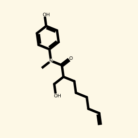 C=CCCCCC(CO)C(=O)N(C)c1ccc(O)cc1